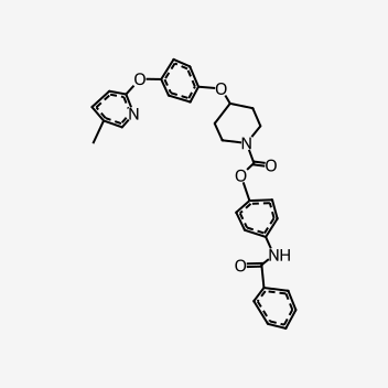 Cc1ccc(Oc2ccc(OC3CCN(C(=O)Oc4ccc(NC(=O)c5ccccc5)cc4)CC3)cc2)nc1